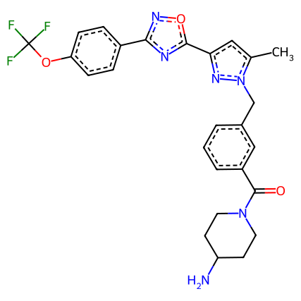 Cc1cc(-c2nc(-c3ccc(OC(F)(F)F)cc3)no2)nn1Cc1cccc(C(=O)N2CCC(N)CC2)c1